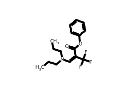 CCCN(/C=C(\C(=O)Oc1ccccc1)C(F)(F)F)CCC